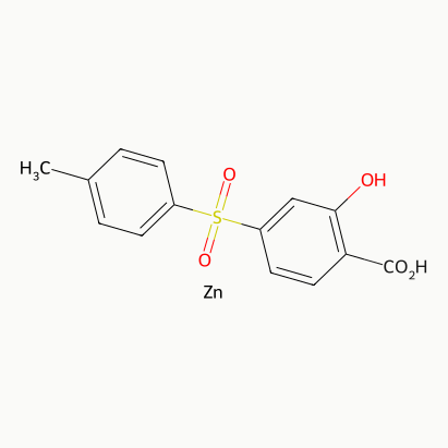 Cc1ccc(S(=O)(=O)c2ccc(C(=O)O)c(O)c2)cc1.[Zn]